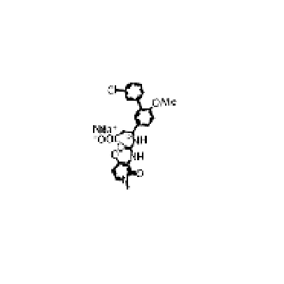 COc1ccc([C@H](CC(=O)[O-])NC(=O)Nc2c([O-])ccn(C)c2=O)cc1-c1cccc(Cl)c1.[Na+].[Na+]